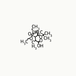 CCOP(=O)(OCC)C(C(=O)OC(C)(C)C)C(C)C(=O)O